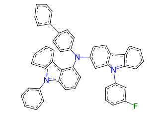 Fc1cccc(-n2c3ccccc3c3ccc(N(c4ccc(-c5ccccc5)cc4)c4cccc5c4c4ccccc4n5-c4ccccc4)cc32)c1